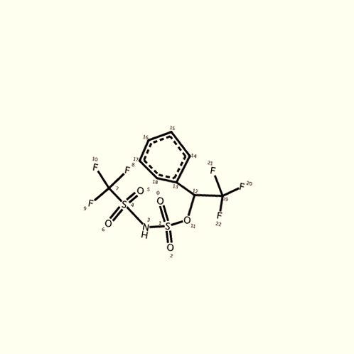 O=S(=O)(NS(=O)(=O)C(F)(F)F)OC(c1ccccc1)C(F)(F)F